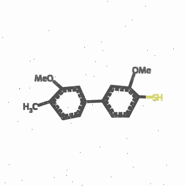 COc1cc(-c2ccc(S)c(OC)c2)ccc1C